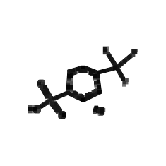 O=S(=O)(O)c1ccc(C(F)(F)F)cc1.[Ag]